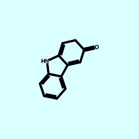 O=C1C=c2c([nH]c3ccccc23)=CC1